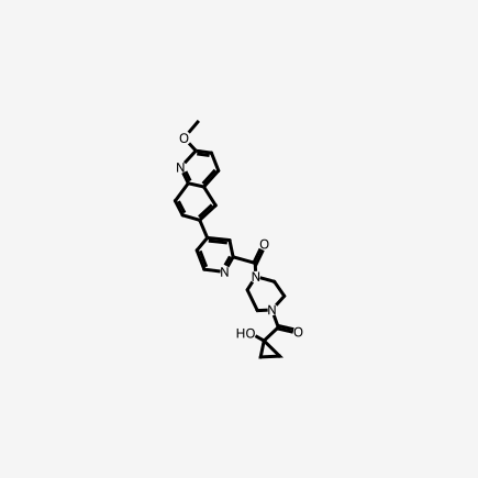 COc1ccc2cc(-c3ccnc(C(=O)N4CCN(C(=O)C5(O)CC5)CC4)c3)ccc2n1